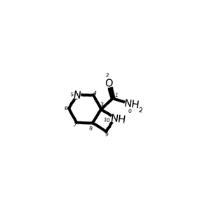 NC(=O)C12C[N]CCC1CN2